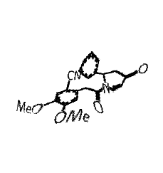 COc1cc(C#N)c(CC(=O)N2C=CC(=O)CC2c2ccccc2)cc1OC